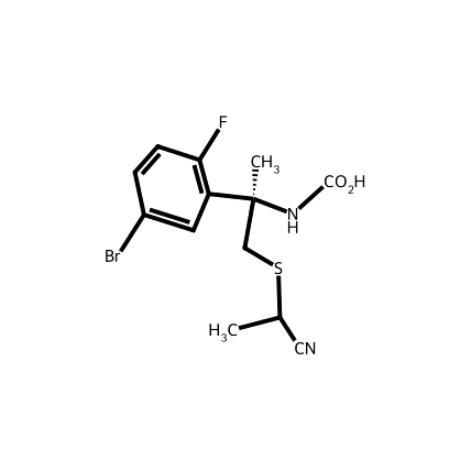 CC(C#N)SC[C@](C)(NC(=O)O)c1cc(Br)ccc1F